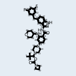 CC(C)(C)C(OC(=O)N1CCC1)N1CCN(c2ccc(C(=O)Nc3n[nH]c4ccc(Cc5cc(F)cc(F)c5)cc34)c(NC3CCOCC3)c2)CC1